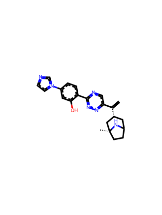 C=C(c1cnc(-c2ccc(-n3ccnc3)cc2O)nn1)[C@@H]1CC2CC[C@@](C)(C1)N2